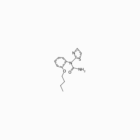 CCCCOc1ccccc1N(C(N)=O)c1nccs1